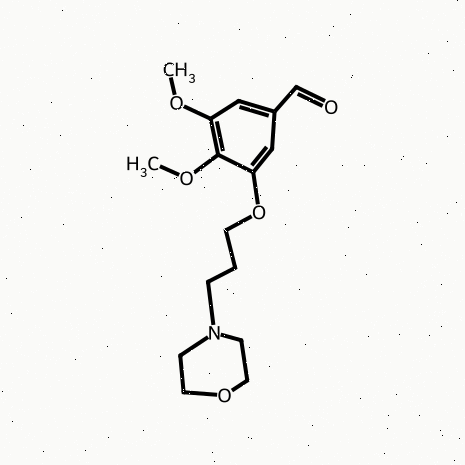 COc1cc(C=O)cc(OCCCN2CCOCC2)c1OC